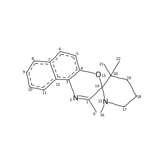 CC1=Nc2c(ccc3ccccc23)OC12N(C)CCCC2(C)C